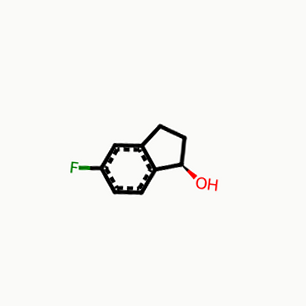 O[C@@H]1CCc2cc(F)ccc21